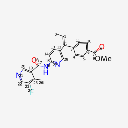 CC=C(c1ccc(C(=O)OC)cc1)c1ccc(NC(=O)c2cncc(F)c2C)nc1